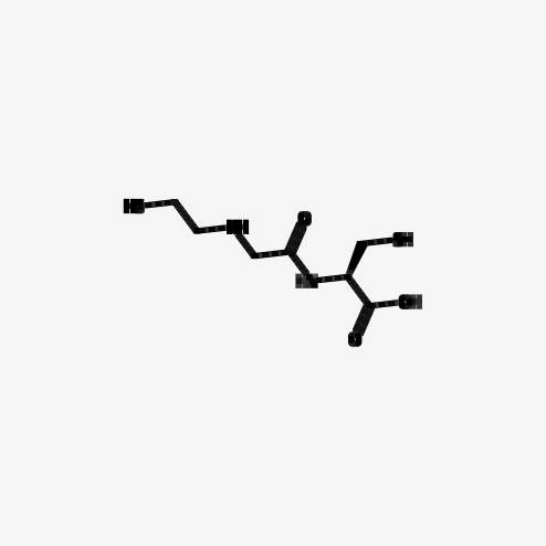 O=C(CNCCS)N[C@@H](CS)C(=O)O